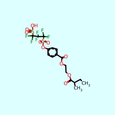 CCC(C)C(=O)OCCOC(=O)c1ccc(OS(=O)(=O)C(F)(F)C(F)(F)C(F)(F)S(=O)(=O)O)cc1